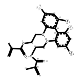 C=C(C)C(=O)OCCOc1cc(C(F)(F)F)cc(C(F)(F)F)c1-c1c(OCCOC(=O)C(=C)C)cc(C(F)(F)F)cc1C(F)(F)F